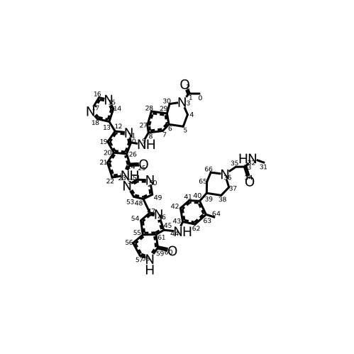 CC(=O)N1CCc2cc(Nc3nc(-c4cncnc4)cc4cc[nH]c(=O)c34)ccc2C1.CNC(=O)CN1CCC(c2ccc(Nc3nc(-c4cncnc4)cc4cc[nH]c(=O)c34)cc2C)CC1